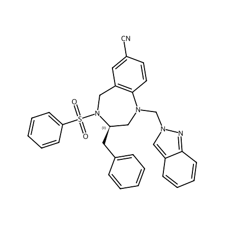 N#Cc1ccc2c(c1)CN(S(=O)(=O)c1ccccc1)[C@H](Cc1ccccc1)CN2Cn1cc2ccccc2n1